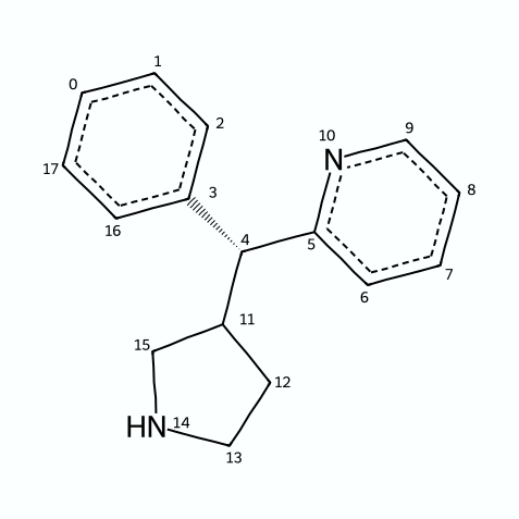 c1ccc([C@H](c2ccccn2)C2CCNC2)cc1